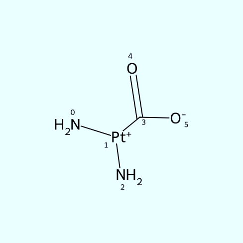 [NH2][Pt+]([NH2])[C](=O)[O-]